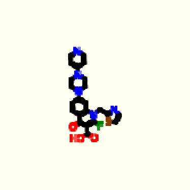 O=C(O)c1c(F)n(Cc2nccs2)c2cc(N3CCN(c4ccncc4)CC3)ccc2c1=O